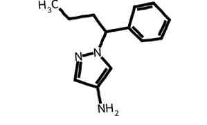 CCCC(c1ccccc1)n1cc(N)cn1